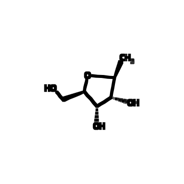 C[C@@H]1O[C@H](CO)[C@@H](O)[C@H]1O